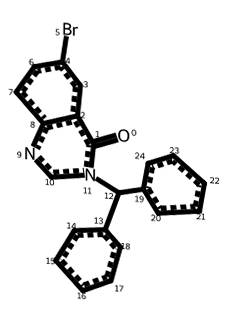 O=c1c2cc(Br)ccc2ncn1C(c1ccccc1)c1ccccc1